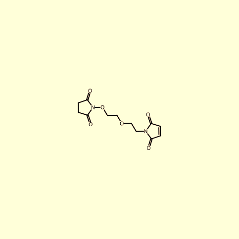 O=C1C=CC(=O)N1CCOCCON1C(=O)CCC1=O